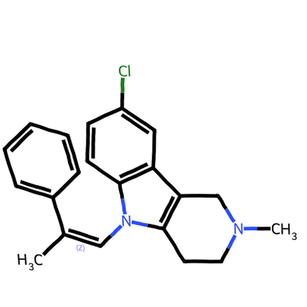 C/C(=C/n1c2c(c3cc(Cl)ccc31)CN(C)CC2)c1ccccc1